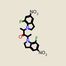 CC(C(=O)C(C)N1CCc2cc([N+](=O)[O-])cc(F)c21)N1CCc2cc([N+](=O)[O-])cc(F)c21